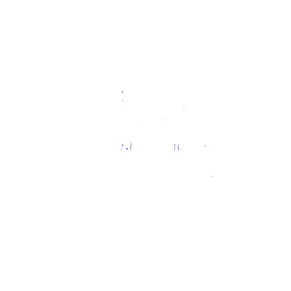 CCNC(=O)C(C)N(CC)CC